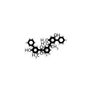 Cc1cc(O)c(C2CCCCC2)cc1C(C)(C)c1cccc(C(C)(C)c2cc(C3CCCCC3)c(O)cc2C)c1